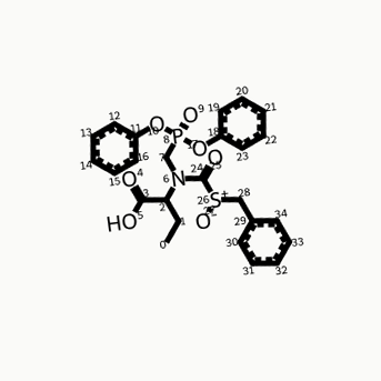 CCC(C(=O)O)N(CP(=O)(Oc1ccccc1)Oc1ccccc1)C(=O)[S+]([O-])Cc1ccccc1